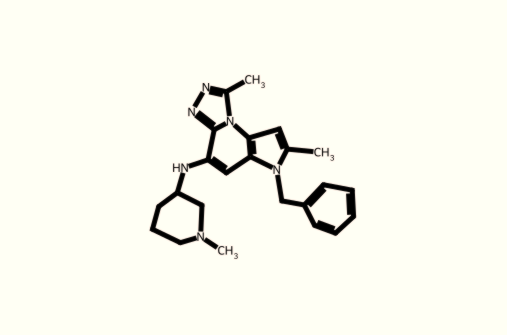 Cc1cc2c(cc(NC3CCCN(C)C3)c3nnc(C)n32)n1Cc1ccccc1